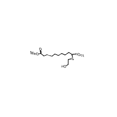 CCCCCCCCC(CCCCCCCCC(=O)OC)SCCO